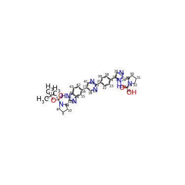 CC(C)(C)OC(=O)N1CCC[C@H]1c1nc2cc(-c3cnc(-c4ccc(-c5cnc([C@@H]6CCCN6C(=O)O)[nH]5)cc4)nc3)ccc2[nH]1